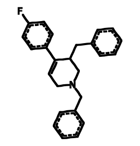 Fc1ccc(C2=CCN(Cc3ccccc3)CC2Cc2ccccc2)cc1